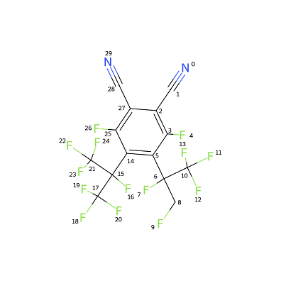 N#Cc1c(F)c(C(F)(CF)C(F)(F)F)c(C(F)(C(F)(F)F)C(F)(F)F)c(F)c1C#N